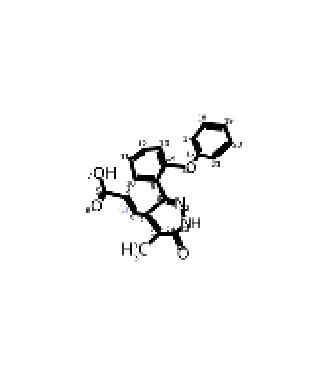 Cc1c(/C=C/C(=O)O)c(-c2ccccc2Oc2ccccc2)n[nH]c1=O